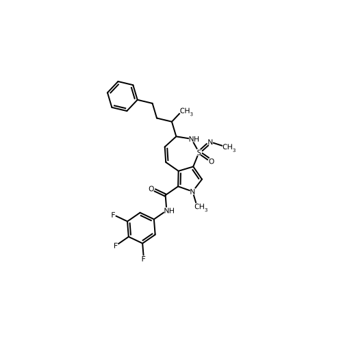 CN=S1(=O)NC(C(C)CCc2ccccc2)C=Cc2c1cn(C)c2C(=O)Nc1cc(F)c(F)c(F)c1